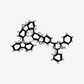 c1ccc(C2=NC(c3ccc4c(c3)oc3ccc(-c5cccc6oc7ccc(-n8c9ccccc9c9ccccc98)cc7c56)cc34)=NC(c3ccccc3)N2)cc1